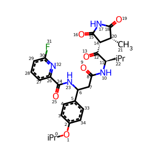 CC(C)Oc1ccc(C(CC(=O)N[C@@H](C(=O)[C@@H]2C(=O)NC(=O)[C@@H]2C)C(C)C)NC(=O)c2cccc(F)n2)cc1